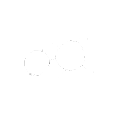 CN1CCCN(C)CCN(C)CC(C2CNCCNCCNCCN2)CN(C)CC1